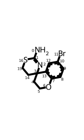 NC1=NC2(CCOc3ccc(Br)cc32)CCS1